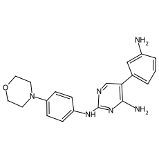 Nc1cccc(-c2cnc(Nc3ccc(N4CCOCC4)cc3)nc2N)c1